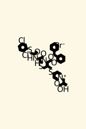 C=C(C[n+]1ccc(SCC2=C(C(=O)OC(c3ccccc3)c3ccccc3)N3C(=O)[C@H](NC(=O)CSc4cc(Cl)ccc4Cl)[C@H]3SC2)cc1)C(=O)O.[Br-]